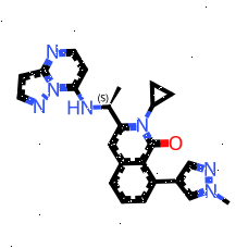 C[C@H](Nc1ccnc2ccnn12)c1cc2cccc(-c3cnn(C)c3)c2c(=O)n1C1CC1